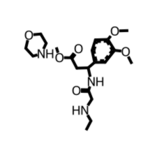 C1COCCN1.CCNCC(=O)NC(CC(=O)OC)c1ccc(OC)c(OC)c1